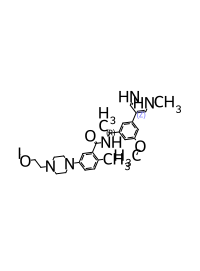 CN/C=C(\C=N)c1cc(OC)cc([C@@H](C)NC(=O)c2cc(N3CCN(CCOI)CC3)ccc2C)c1